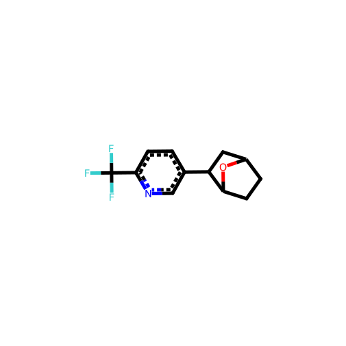 FC(F)(F)c1ccc(C2CC3CCC2O3)cn1